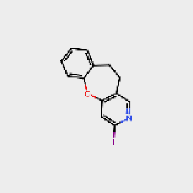 Ic1cc2c(cn1)CCc1ccccc1O2